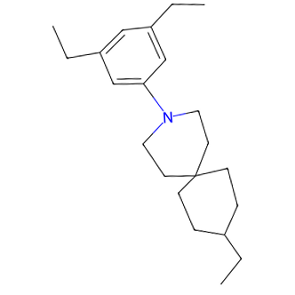 CCc1cc(CC)cc(N2CCC3(CCC(CC)CC3)CC2)c1